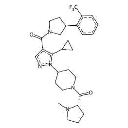 CN1CCC[C@H]1C(=O)N1CCC(n2ncc(C(=O)N3CC[C@@H](c4ccccc4C(F)(F)F)C3)c2C2CC2)CC1